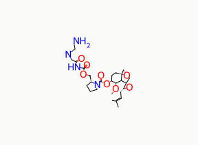 COC1C(OC(=O)N2CCC[C@H]2COC(=O)NC(=O)CN(C)CCN)CC[C@]2(CO2)C1C1(C)O[C@@H]1CC=C(C)C